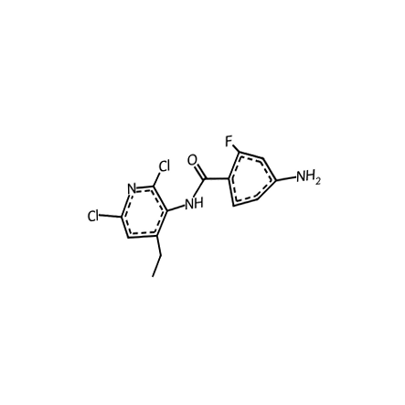 CCc1cc(Cl)nc(Cl)c1NC(=O)c1ccc(N)cc1F